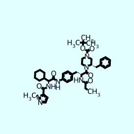 CCC(=O)N[C@H](Cc1ccc(NC(=O)[C@@H](NC(=O)c2ccnn2C)C2CCCCC2)cc1)C(=O)N1CCN(C(=O)OC(C)(C)C)C[C@@H]1Cc1ccccc1